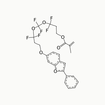 C=C(C)C(=O)OCCC(F)(F)OC(F)(F)OC(F)(F)CCOc1ccc2cc(-c3ccccc3)oc2c1